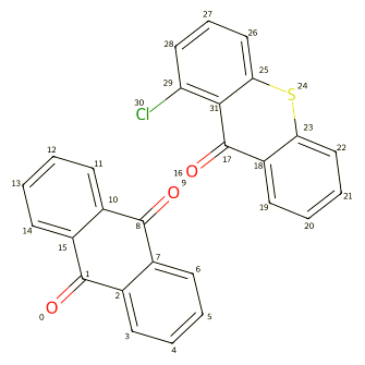 O=C1c2ccccc2C(=O)c2ccccc21.O=c1c2ccccc2sc2cccc(Cl)c12